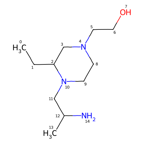 CCC1CN(CCO)CCN1CC(C)N